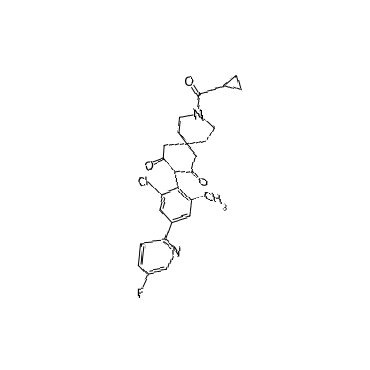 Cc1cc(-c2ccc(F)cn2)cc(Cl)c1C1C(=O)CC2(CCN(C(=O)C3CC3)CC2)CC1=O